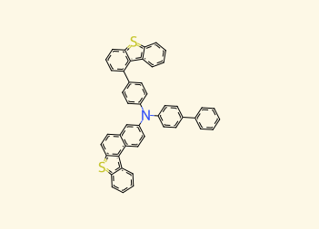 c1ccc(-c2ccc(N(c3ccc(-c4cccc5sc6ccccc6c45)cc3)c3ccc4c(ccc5sc6ccccc6c54)c3)cc2)cc1